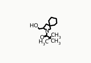 CC(C)(C)C(=O)N1CC2(CCCCC2)CC1CO